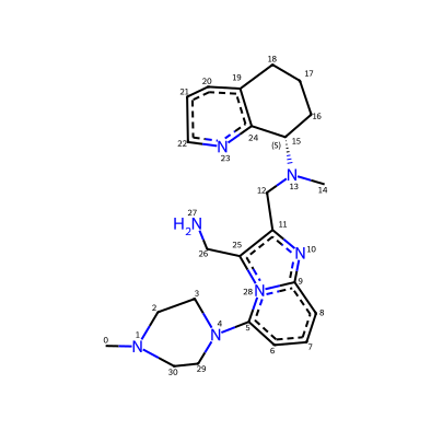 CN1CCN(c2cccc3nc(CN(C)[C@H]4CCCc5cccnc54)c(CN)n23)CC1